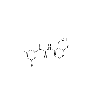 O=C(Nc1cc(F)cc(F)c1)Nc1cccc(F)c1CO